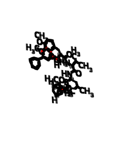 COc1ccc(C[C@H](Nc2cccc(-c3ccccc3)c2)C(=O)N[C@H](C(=O)N[C@@H](CC(C)C)B2O[C@@H]3C[C@@H]4C[C@@H](C4(C)C)[C@]3(C)O2)C(C)C)c(OC)c1OC